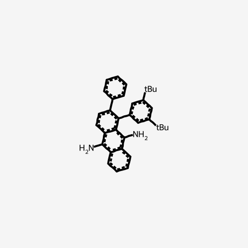 CC(C)(C)c1cc(-c2c(-c3ccccc3)ccc3c(N)c4ccccc4c(N)c23)cc(C(C)(C)C)c1